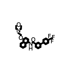 O=C(Nc1ccc(OCCN2CCOCC2)c2ccccc12)c1cccc(-c2ccc(C(F)(F)F)cc2)c1